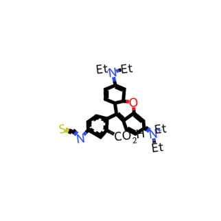 CCN(CC)C1=CC2OC3=CC(=[N+](CC)CC)C=CC3=C(c3ccc(N=C=S)cc3C(=O)O)C2C=C1